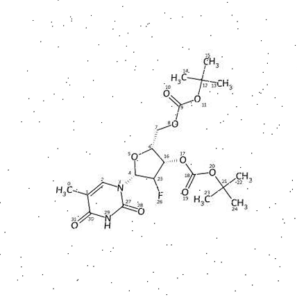 Cc1cn([C@@H]2O[C@H](COC(=O)OC(C)(C)C)[C@H](OC(=O)OC(C)(C)C)C2F)c(=O)[nH]c1=O